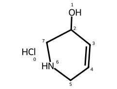 Cl.OC1C=CCNC1